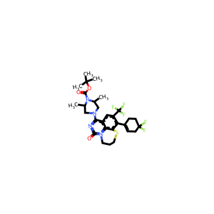 CC1CN(c2nc(=O)n3c4c(c(C5=CCC(F)(F)CC5)c(C(F)(F)F)cc24)SCCC3)CC(C)N1C(=O)OC(C)(C)C